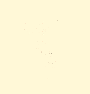 CNCc1cc(-c2ccccc2F)n(S(=O)(=O)c2cccc(NS(=O)(=O)N3CC(F)C3)c2)c1